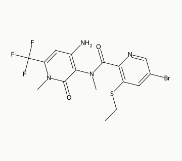 CCSc1cc(Br)cnc1C(=O)N(C)c1c(N)cc(C(F)(F)F)n(C)c1=O